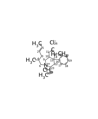 CC=CCC(C)C[N+]1(C)CC(CC)C(CC)(c2ccccc2)CC1CC.[Cl-]